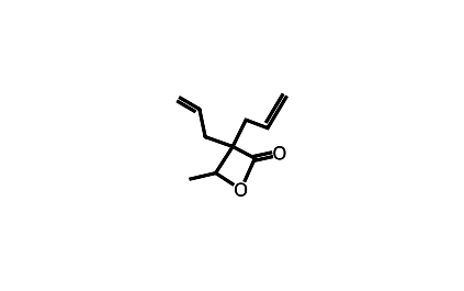 C=CCC1(CC=C)C(=O)OC1C